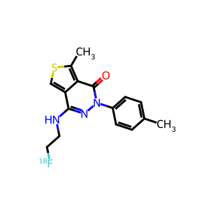 Cc1ccc(-n2nc(NCC[18F])c3csc(C)c3c2=O)cc1